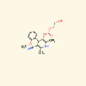 COc1ccccc1C1C(C#N)=C(C)NC(C)=C1OC(=O)OCCO